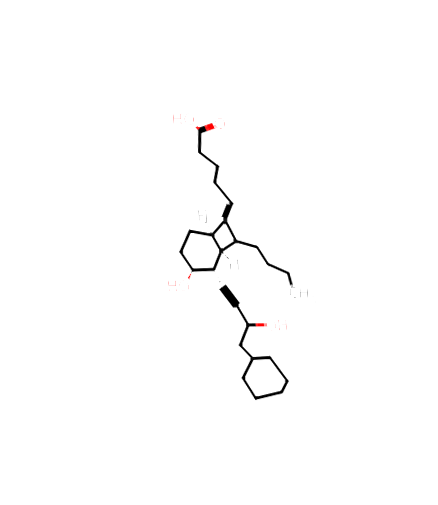 CCCCC1/C(=C/CCCC(=O)O)[C@@H]2CC[C@H](O)[C@@H](C#CC(O)CC3CCCCC3)[C@H]12